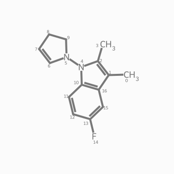 Cc1c(C)n(N2C=CCC2)c2ccc(F)cc12